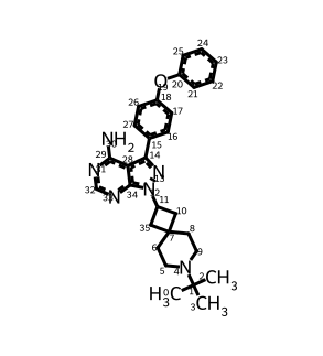 CC(C)(C)N1CCC2(CC1)CC(n1nc(-c3ccc(Oc4ccccc4)cc3)c3c(N)ncnc31)C2